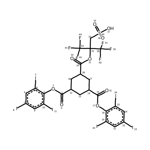 O=C(Oc1c(I)cc(I)cc1I)C1CC(C(=O)Oc2c(I)cc(I)cc2I)CC(C(=O)OC(CS(=O)(=O)O)(C(F)(F)F)C(F)(F)F)C1